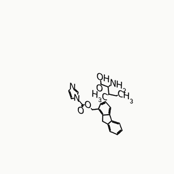 CC[C@H](C)[C@H](N)C(=O)O.O=C(OCc1cccc2c1Cc1ccccc1-2)n1ccnc1